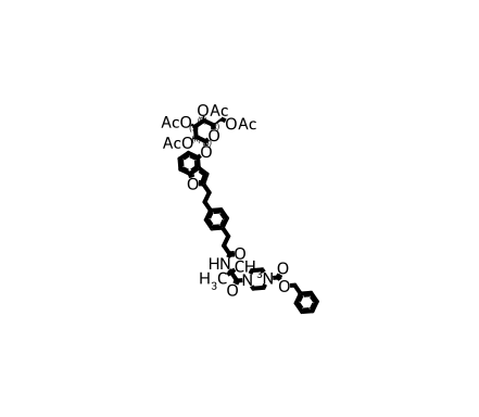 CC(=O)OC[C@H]1O[C@@H](Oc2cccc3oc(CCc4ccc(CCC(=O)NC(C)(C)C(=O)N5CCN(C(=O)OCc6ccccc6)CC5)cc4)cc23)[C@H](OC(C)=O)[C@@H](OC(C)=O)[C@@H]1OC(C)=O